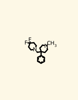 CN1CCC(CN2CCC(F)(F)CC2)(c2ccccc2)CC1